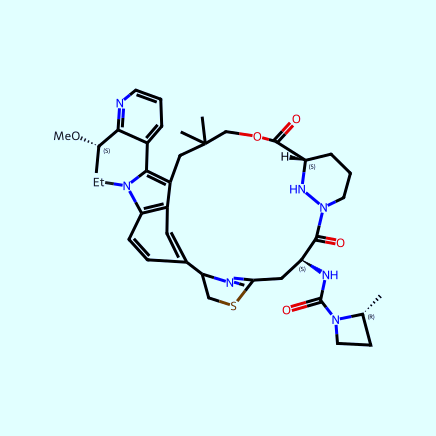 CCn1c(-c2cccnc2[C@H](C)OC)c2c3cc(ccc31)C1CSC(=N1)C[C@H](NC(=O)N1CC[C@H]1C)C(=O)N1CCC[C@H](N1)C(=O)OCC(C)(C)C2